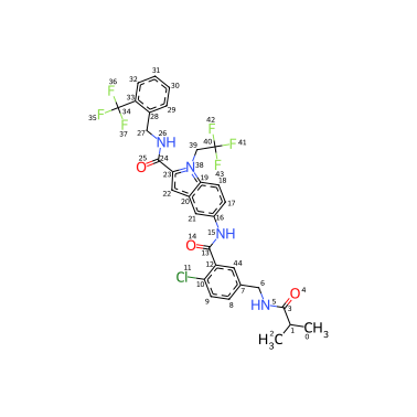 CC(C)C(=O)NCc1ccc(Cl)c(C(=O)Nc2ccc3c(c2)cc(C(=O)NCc2ccccc2C(F)(F)F)n3CC(F)(F)F)c1